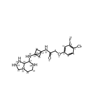 O=C(COc1ccc(Cl)c(F)c1)NC12CC(NC3NCCN4CNNC34)(C1)C2